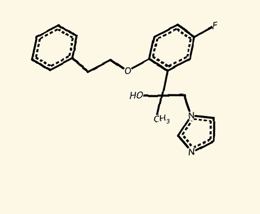 CC(O)(Cn1ccnc1)c1cc(F)ccc1OCCc1ccccc1